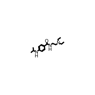 CCN(CC)CCNC(=O)c1ccc(NC(C)C)cc1